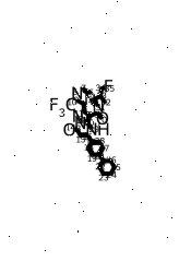 O=C(c1c(-c2nccnc2C(F)(F)F)nn2c(=O)cc(-c3ccc(C4CCCCC4)cc3)[nH]c12)N1CC(CF)C1